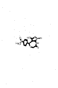 CC(C)n1nc(O)c2c1NC(=O)CSC2c1ccc([N+](=O)O)cc1